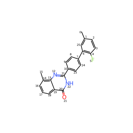 Cc1ccc(F)c(-c2ccc(-c3nc4c(C)cccc4c(=O)[nH]3)cc2)c1